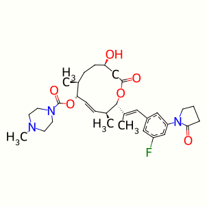 C/C(=C\c1cc(F)cc(N2CCCC2=O)c1)[C@H]1OC(=O)C[C@H](O)CC[C@H](C)[C@@H](OC(=O)N2CCN(C)CC2)/C=C/[C@@H]1C